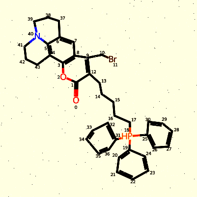 O=c1oc2c3c4c(cc2c(CBr)c1CCCCC[PH](c1ccccc1)(c1ccccc1)c1ccccc1)CCCN4CCC3